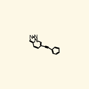 C(#Cc1ccc2cnnn2c1)c1ccccc1